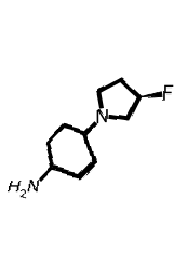 NC1CCC(N2CC[C@@H](F)C2)CC1